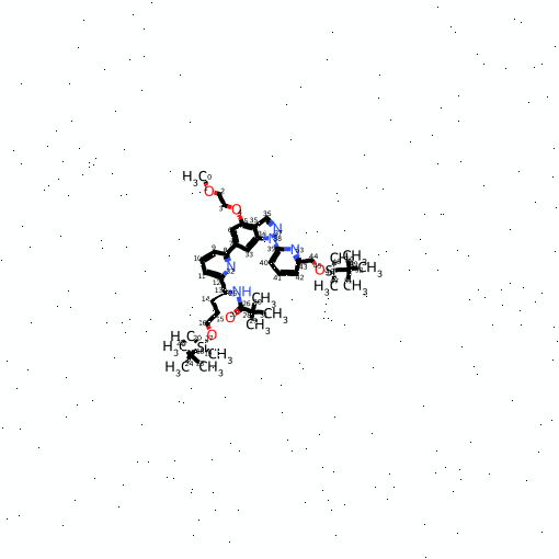 COCCOc1cc(-c2cccc([C@H](CCCO[Si](C)(C)C(C)(C)C)NC(=O)C(C)(C)C)n2)cc2c1cnn2-c1cccc(CO[Si](C)(C)C(C)(C)C)n1